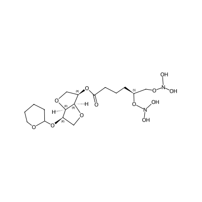 O=C(CCC[C@@H](CON(O)O)ON(O)O)O[C@@H]1CO[C@H]2[C@@H]1OC[C@H]2OC1CCCCO1